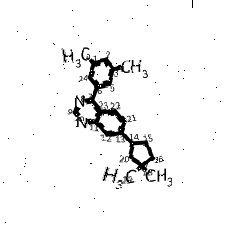 Cc1cc(C)cc(-c2ncnc3cc(C4CCC(C)(C)C4)ccc23)c1